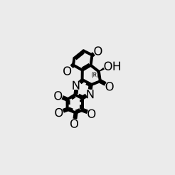 O=C1C=CC(=O)C2=C1c1nc3c(=O)c(=O)c(=O)c(=O)c3nc1C(=O)[C@@H]2O